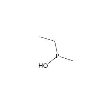 CCP(C)O